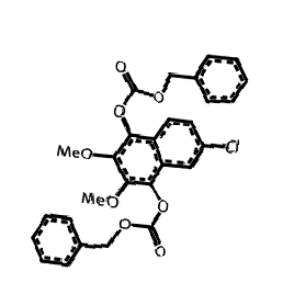 COc1c(OC)c(OC(=O)OCc2ccccc2)c2cc(Cl)ccc2c1OC(=O)OCc1ccccc1